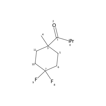 CC(C)C(=O)C1(C)CCC(F)(F)CC1